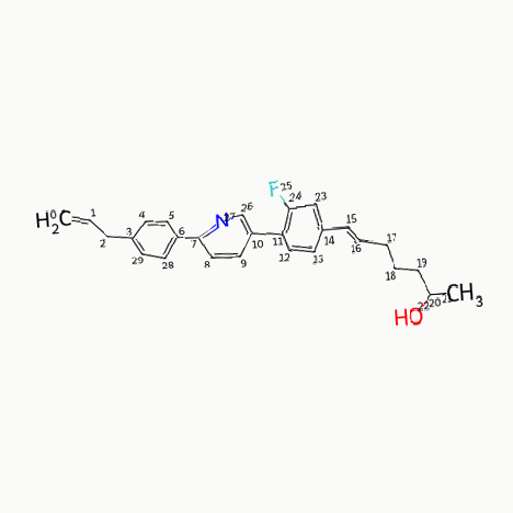 C=CCc1ccc(-c2ccc(-c3ccc(/C=C/CCCC(C)O)cc3F)cn2)cc1